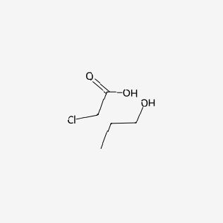 CCCO.O=C(O)CCl